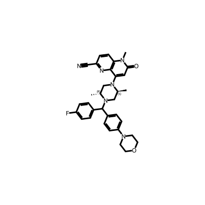 C[C@@H]1CN(c2cc(=O)n(C)c3ccc(C#N)nc23)[C@@H](C)CN1C(c1ccc(F)cc1)c1ccc(N2CCOCC2)cc1